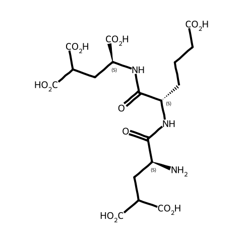 N[C@@H](CC(C(=O)O)C(=O)O)C(=O)N[C@@H](CCCC(=O)O)C(=O)N[C@@H](CC(C(=O)O)C(=O)O)C(=O)O